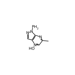 Cc1c[n+](O)c2cnn(P)c2n1